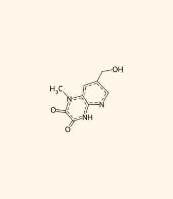 Cn1c(=O)c(=O)[nH]c2ncc(CO)cc21